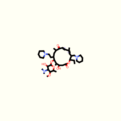 CCC1OC(=O)CC(O)C(C)C(OC2OC(C)C(OC)C(N(C)C)C2O)C(CCN2CCCCC2)CC(C)C(=O)/C=C/C(C)=C/C1CN1CCCCC1